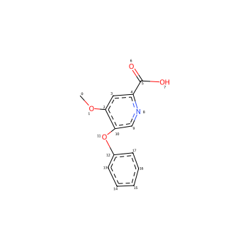 COc1cc(C(=O)O)ncc1Oc1ccccc1